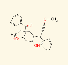 CCC1(C(=O)c2ccccc2)CC(C(C#COC)c2ccccc2)C(O)CC1O